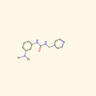 CCN(CC)c1cccc(NC(=O)NCc2ccncc2)c1